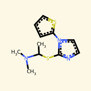 CC(Sc1nccn1-c1cccs1)N(C)C